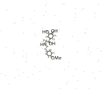 COc1ccc(CCNC(C)C(O)c2ccc(O)c(O)c2)cc1